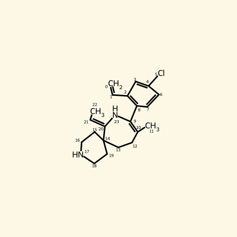 C=Cc1cc(Cl)ccc1C1=C(C)CCC2(CCNCC2)C(=CC)N1